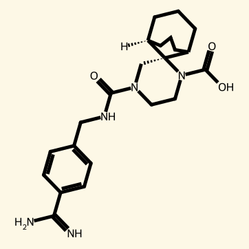 N=C(N)c1ccc(CNC(=O)N2CCN(C(=O)O)[C@]3(C2)C2CCC[C@H]3CCC2)cc1